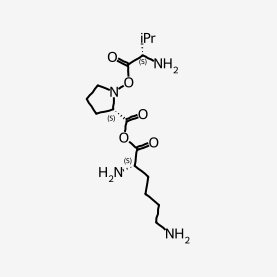 CC(C)[C@H](N)C(=O)ON1CCC[C@H]1C(=O)OC(=O)[C@@H](N)CCCCN